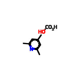 Cc1cc(C)nc(C)c1.O=C(O)O